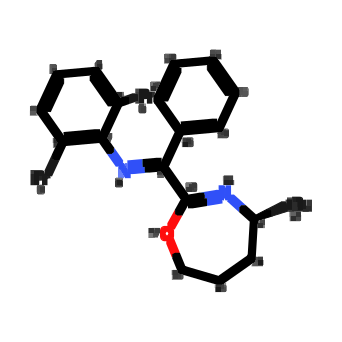 CC(C)c1cccc(C(C)C)c1/N=C(/C1=N[C@@H](C(C)(C)C)CCCO1)c1ccccc1